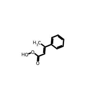 CC(=CC(=O)OO)c1ccccc1